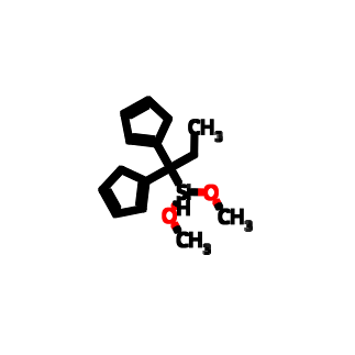 CCC(C1=CC=CC1)(C1=CC=CC1)[SiH](OC)OC